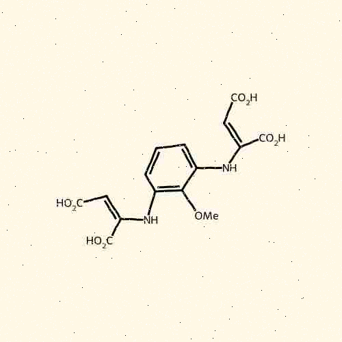 COc1c(NC(=CC(=O)O)C(=O)O)cccc1NC(=CC(=O)O)C(=O)O